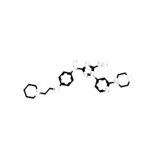 Nc1nc(Nc2ccc(OCCN3CCCCC3)cc2)nn1-c1ccnc(N2CCOCC2)c1